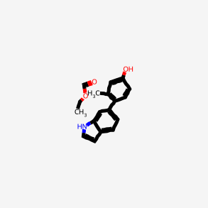 CCOC=O.Cc1cc(O)ccc1-c1ccc2cc[nH]c2c1